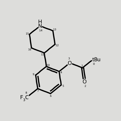 CC(C)(C)C(=O)Oc1ccc(C(F)(F)F)cc1C1CCNCC1